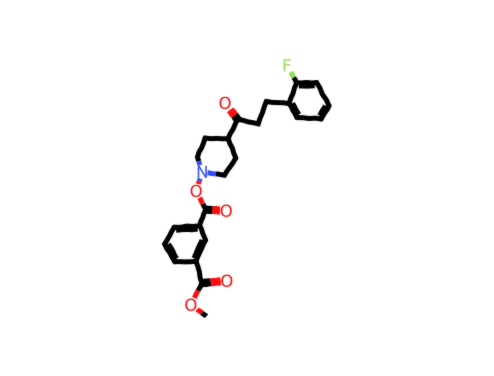 COC(=O)c1cccc(C(=O)ON2CCC(C(=O)CCc3ccccc3F)CC2)c1